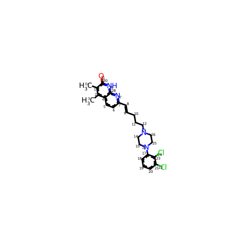 Cc1c(C)c2ccc(/C=C/CCCN3CCN(c4cccc(Cl)c4Cl)CC3)nc2[nH]c1=O